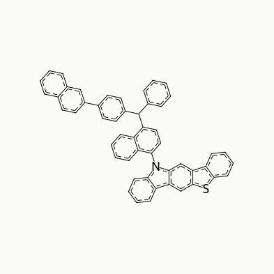 c1ccc(C(c2ccc(-c3ccc4ccccc4c3)cc2)c2ccc(-n3c4ccccc4c4cc5sc6ccccc6c5cc43)c3ccccc23)cc1